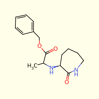 CC(N[C@H]1CCCCNC1=O)C(=O)OCc1ccccc1